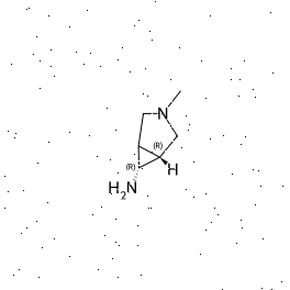 CN1CC2[C@@H](N)[C@H]2C1